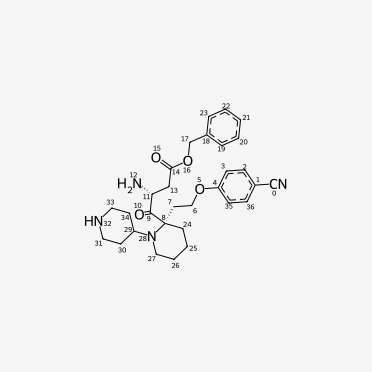 N#Cc1ccc(OCC[C@]2(C(=O)[C@H](N)CC(=O)OCc3ccccc3)CCCCN2C2CCNCC2)cc1